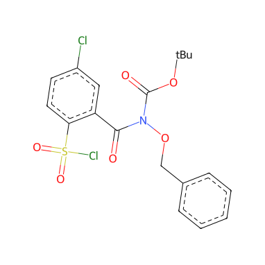 CC(C)(C)OC(=O)N(OCc1ccccc1)C(=O)c1cc(Cl)ccc1S(=O)(=O)Cl